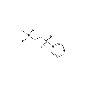 O=S(=O)(CC[Si](Cl)(Cl)Cl)c1ccccc1